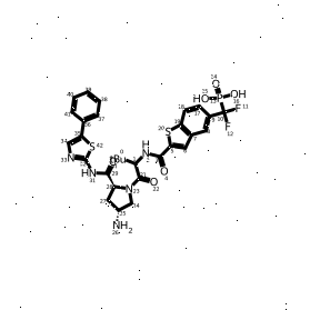 CC(C)(C)C(NC(=O)c1cc2cc(C(F)(F)P(=O)(O)O)ccc2s1)C(=O)N1C[C@H](N)C[C@H]1C(=O)Nc1ncc(-c2ccccc2)s1